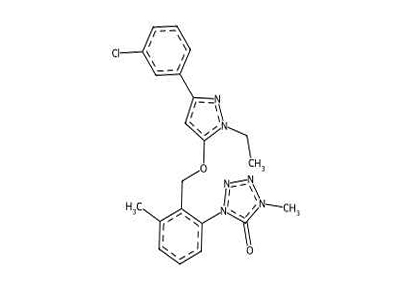 CCn1nc(-c2cccc(Cl)c2)cc1OCc1c(C)cccc1-n1nnn(C)c1=O